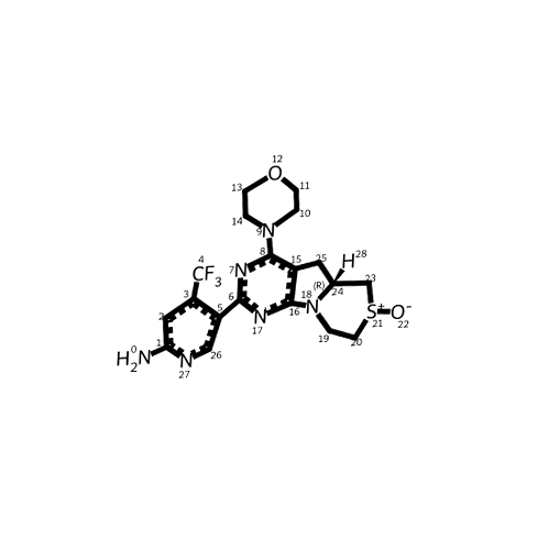 Nc1cc(C(F)(F)F)c(-c2nc(N3CCOCC3)c3c(n2)N2CC[S+]([O-])C[C@H]2C3)cn1